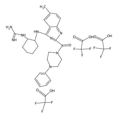 Cc1ccc2nc(C(=O)N3CCN(c4ccccc4)CC3)nc(NC3CCCCC3NC(=N)N)c2c1.O=C(O)C(F)(F)F.O=C(O)C(F)(F)F.O=C(O)C(F)(F)F